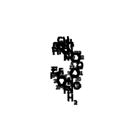 CS(=O)(=O)Nc1nc2cc(Oc3ccc(N(C(N)=O)c4cc(C(F)(F)F)ccc4F)cc3)ccc2[nH]1